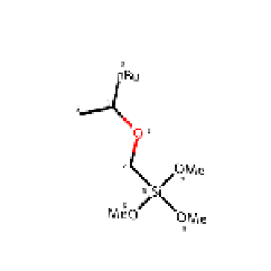 CCCCC(C)OC[Si](OC)(OC)OC